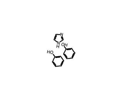 Oc1ccccc1.Oc1ccccc1.c1c[nH]cn1